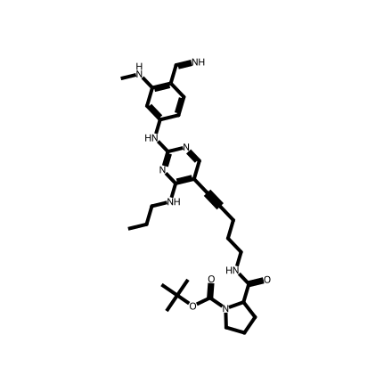 CCCNc1nc(Nc2ccc(C=N)c(NC)c2)ncc1C#CCCCNC(=O)C1CCCN1C(=O)OC(C)(C)C